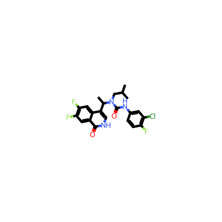 CC(C)CN(C(=O)Nc1ccc(F)c(Cl)c1)C(C)c1c[nH]c(=O)c2cc(F)c(F)cc12